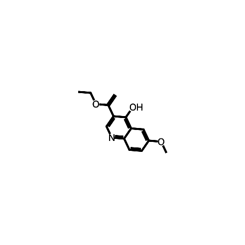 C=C(OCC)c1cnc2ccc(OC)cc2c1O